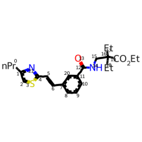 CCCc1csc(C=Cc2cccc(C(=O)NCC(CC)(CC)C(=O)OCC)c2)n1